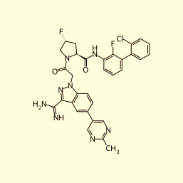 Cc1ncc(-c2ccc3c(c2)c(C(=N)N)nn3CC(=O)N2C[C@H](F)C[C@H]2C(=O)Nc2cccc(-c3ccccc3Cl)c2F)cn1